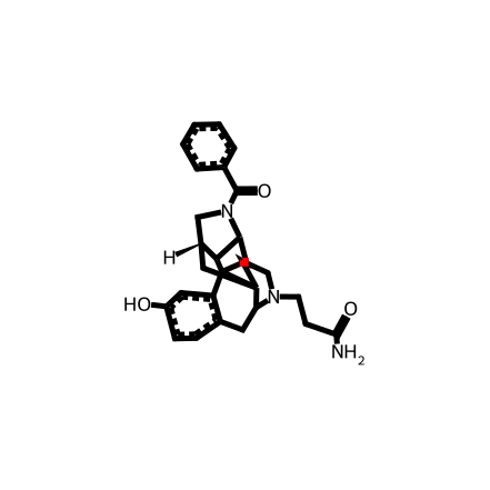 NC(=O)CCN1CCC23c4cc(O)ccc4CC1C21CCC2C3[C@@H](CN2C(=O)c2ccccc2)C1